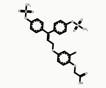 CS(=O)(=O)Oc1ccc(C(=CCSc2ccc(OCC(=O)O)c(I)c2)c2ccc(OS(C)(=O)=O)cc2)cc1